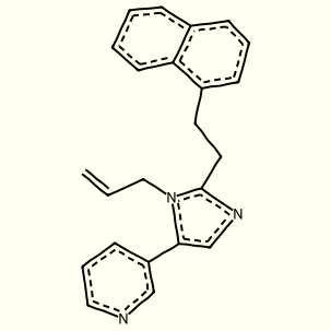 C=CCn1c(-c2cccnc2)cnc1CCc1cccc2ccccc12